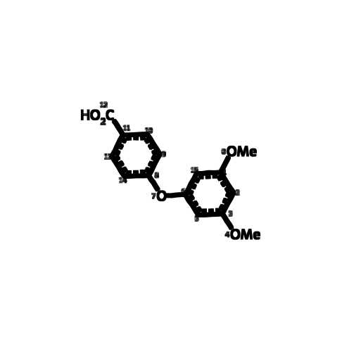 COc1cc(OC)cc(Oc2ccc(C(=O)O)cc2)c1